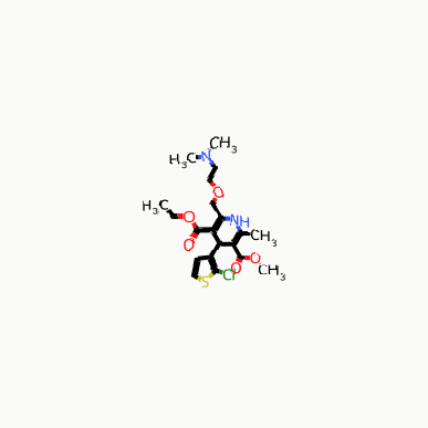 CCOC(=O)C1=C(COCCN(C)C)NC(C)=C(C(=O)OC)C1c1ccsc1Cl